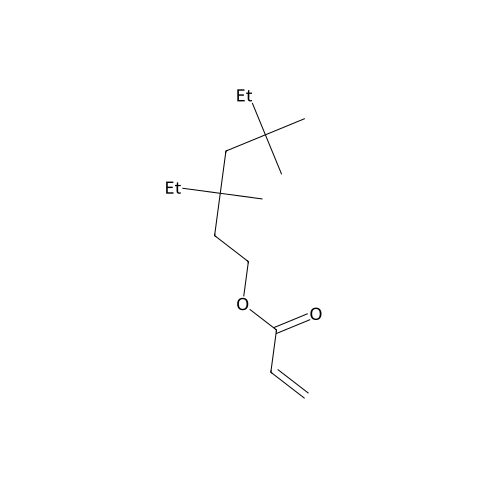 C=CC(=O)OCCC(C)(CC)CC(C)(C)CC